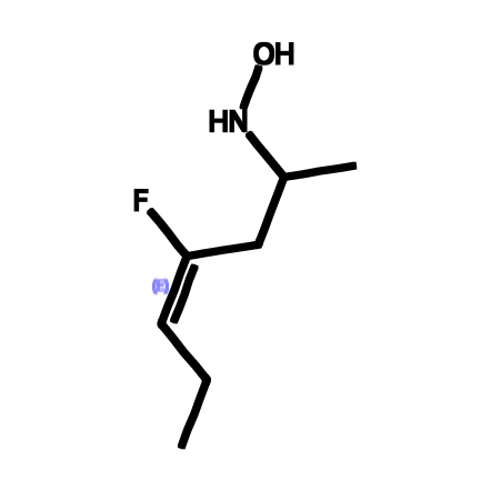 CC/C=C(/F)CC(C)NO